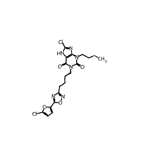 CCCCn1c(=O)n(CCCCc2noc(-c3ccc(Cl)o3)n2)c(=O)c2[nH]c(Cl)nc21